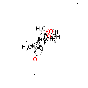 [2H]C([2H])([2H])C(=O)O[C@]1(C(C)=O)CC[C@H]2[C@@H]3C[C@H](C)C4=CC(=O)CC[C@]4(C)[C@H]3CC[C@@]21C